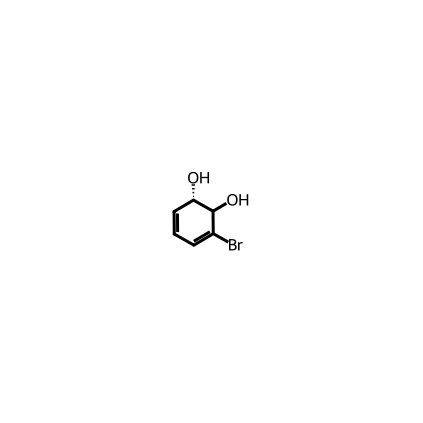 OC1C(Br)=CC=C[C@@H]1O